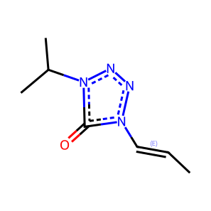 C/C=C/n1nnn(C(C)C)c1=O